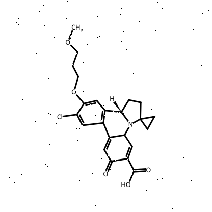 COCCCOc1cc2c(cc1Cl)C1=CC(=O)C(C(=O)O)=CC1N1[C@H]2CCC12CC2